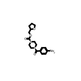 Nc1ccc(C(=O)N2CCN(C(=O)OCC3CCCO3)CC2)cc1